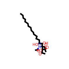 CCCCCCCCCCCCCC[C@@H](O)[C@@H](O)[C@](NC(C)=O)(C(C)=O)C(O)(C(C)=O)C(C)=O